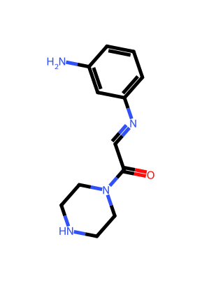 Nc1cccc(N=CC(=O)N2CCNCC2)c1